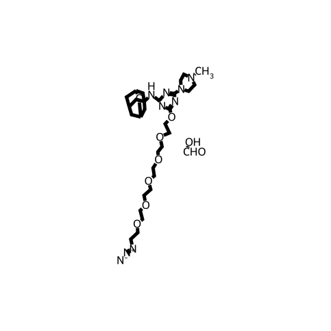 CN1CCN(c2nc(NC34CC5CC(CC(C5)C3)C4)nc(OCCOCCOCCOCCOCCOCCN=[N+]=[N-])n2)CC1.O=CO